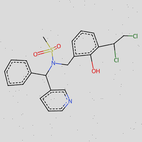 CS(=O)(=O)N(Cc1cccc(C(Cl)CCl)c1O)C(c1ccccc1)c1cccnc1